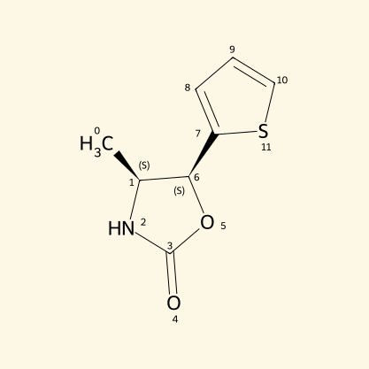 C[C@@H]1NC(=O)O[C@@H]1c1cccs1